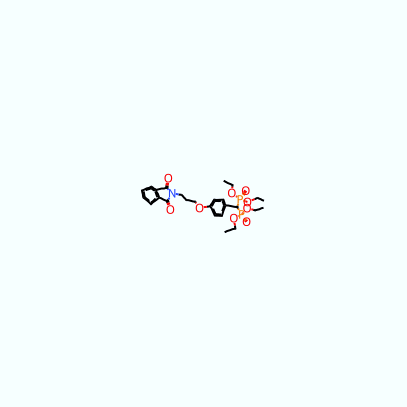 CCOP(=O)(OCC)C(c1ccc(OCCCN2C(=O)c3ccccc3C2=O)cc1)P(=O)(OCC)OCC